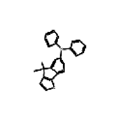 CC1(C)c2cc(N(c3ccccc3)c3ccccc3)ccc2-c2occc21